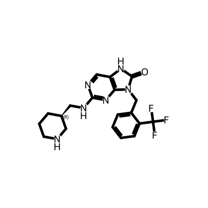 O=c1[nH]c2cnc(NC[C@@H]3CCCNC3)nc2n1Cc1ccccc1C(F)(F)F